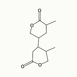 CC1CC(C2CC(=O)OCC2C)COC1=O